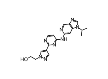 CC(C)n1cnc2cnc(Nc3ccnc(-c4cnn(CCO)c4)n3)cc21